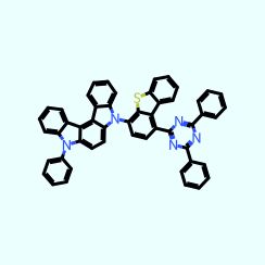 c1ccc(-c2nc(-c3ccccc3)nc(-c3ccc(-n4c5ccccc5c5c6c7ccccc7n(-c7ccccc7)c6ccc54)c4sc5ccccc5c34)n2)cc1